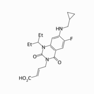 CCC(CC)n1c(=O)n(C/C=C/C(=O)O)c(=O)c2cc(F)c(NCC3CC3)cc21